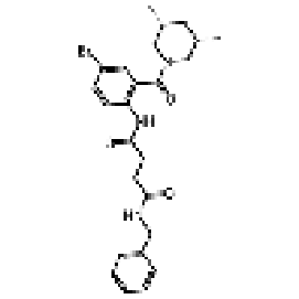 C[C@@H]1C[C@H](C)CN(C(=O)c2cc(Br)ccc2NC(=O)CCC(=O)NCc2ccccc2)C1